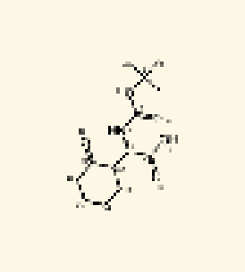 CC(C)(C)OC(=O)N[C@@H](C(=O)O)C1CCCCC1=O